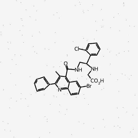 Cc1c(-c2ccccc2)nc2ccc(Br)cc2c1C(=O)NCC(NCC(=O)O)c1ccccc1Cl